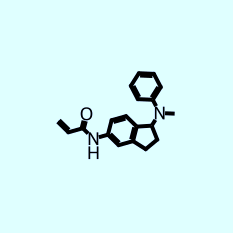 C=CC(=O)Nc1ccc2c(c1)CCC2N(C)c1ccccc1